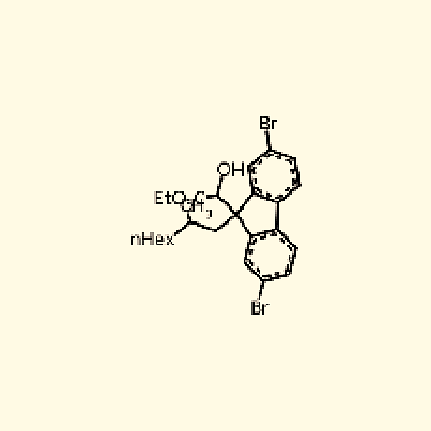 CCCCCCC(C)CC1(C(O)C(=O)OCC)c2cc(Br)ccc2-c2ccc(Br)cc21